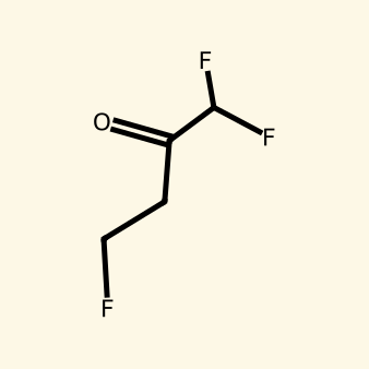 O=C(CCF)C(F)F